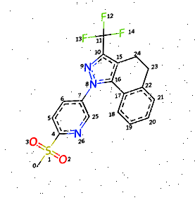 CS(=O)(=O)c1ccc(-n2nc(C(F)(F)F)c3c2-c2ccccc2CC3)cn1